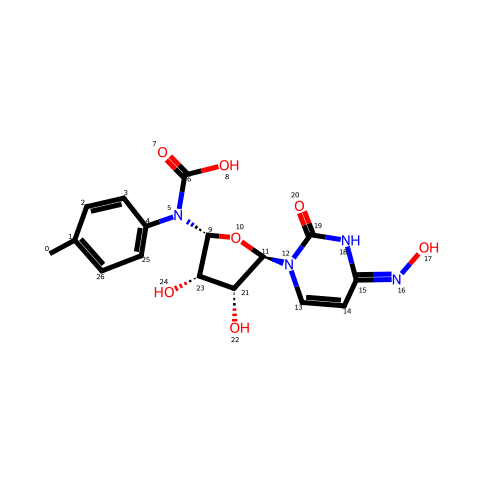 Cc1ccc(N(C(=O)O)[C@@H]2O[C@@H](n3cc/c(=N/O)[nH]c3=O)[C@H](O)[C@@H]2O)cc1